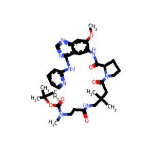 COc1cc2ncnc(Nc3ccccn3)c2cc1NC(=O)C1CCCN1C(=O)CC(C)(C)CNC(=O)CCN(C)C(=O)OC(C)(C)C